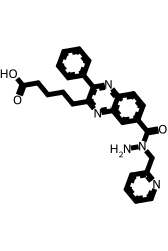 NN(Cc1ccccn1)C(=O)c1ccc2nc(-c3ccccc3)c(CCCCC(=O)O)nc2c1